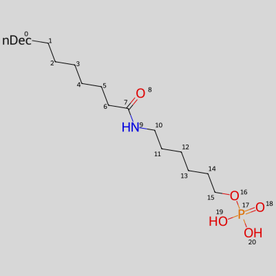 CCCCCCCCCCCCCCCCC(=O)NCCCCCCOP(=O)(O)O